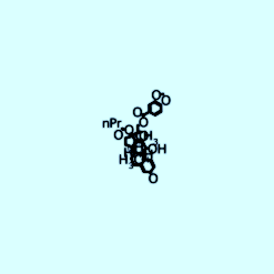 CCCC(=O)O[C@]1(C(=O)COC(=O)c2ccc3c(c2)OCO3)CC[C@H]2[C@@H]3CCC4=CC(=O)C=C[C@]4(C)[C@H]3C(O)C[C@@]21C